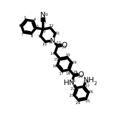 N#CC1(c2ccccc2)CCN(C(=O)Cc2ccc(C(=O)Nc3ccccc3N)cc2)CC1